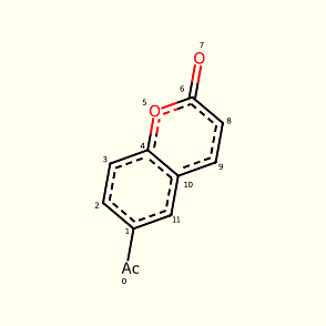 CC(=O)c1ccc2oc(=O)ccc2c1